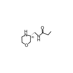 CCC(=O)NC[C@@H]1COCCN1